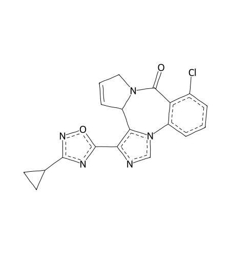 O=C1c2c(Cl)cccc2-n2cnc(-c3nc(C4CC4)no3)c2C2C=CCN12